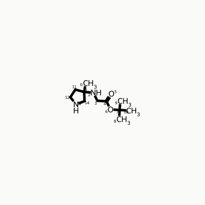 CC1(NCC(=O)OC(C)(C)C)CCNC1